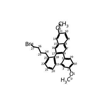 COc1ccc(-c2cc3ccc(OC)cc3cc2-c2ccccc2CCCCBr)cc1